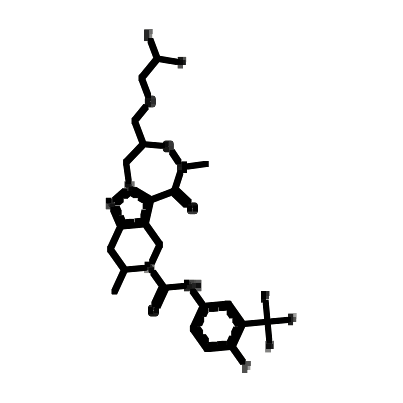 CC1Cc2nn3c(c2CN1C(=O)Nc1ccc(F)c(C(F)(F)F)c1)C(=O)N(C)OC(COCC(F)F)C3